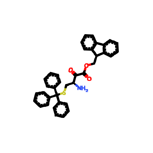 N[C@@H](CSC(c1ccccc1)(c1ccccc1)c1ccccc1)C(=O)C(=O)OCC1c2ccccc2-c2ccccc21